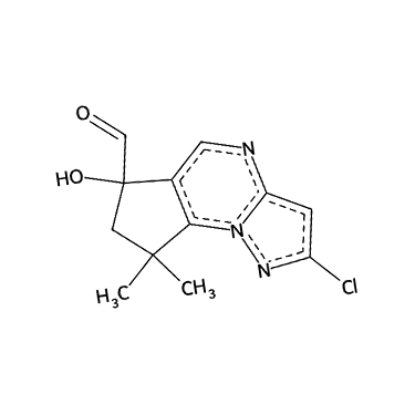 CC1(C)CC(O)(C=O)c2cnc3cc(Cl)nn3c21